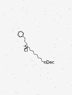 CCCCCCCCCCCCCCCCCC[Si](C)(Cl)CCCc1ccccc1